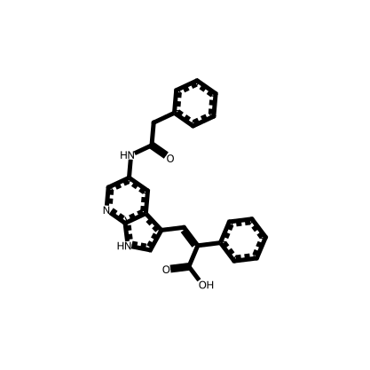 O=C(Cc1ccccc1)Nc1cnc2[nH]cc(C=C(C(=O)O)c3ccccc3)c2c1